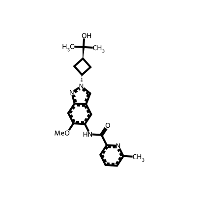 COc1cc2nn([C@H]3C[C@H](C(C)(C)O)C3)cc2cc1NC(=O)c1cccc(C)n1